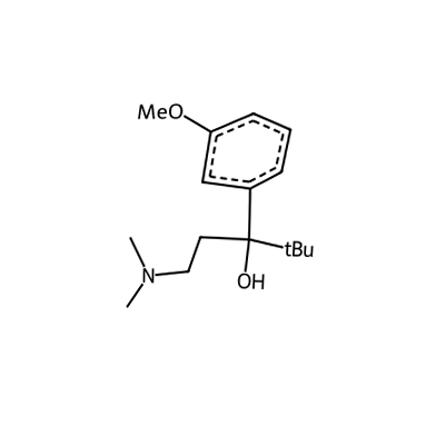 COc1cccc(C(O)(CCN(C)C)C(C)(C)C)c1